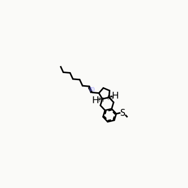 CCCCCC/C=C/C1CC[C@@H]2Cc3c(cccc3SC)C[C@H]12